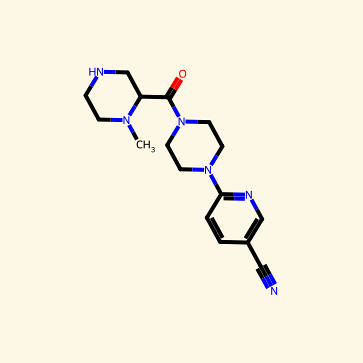 CN1CCNCC1C(=O)N1CCN(c2ccc(C#N)cn2)CC1